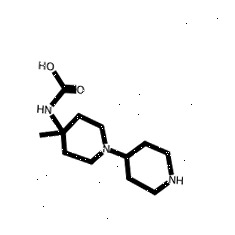 CC1(NC(=O)O)CCN(C2CCNCC2)CC1